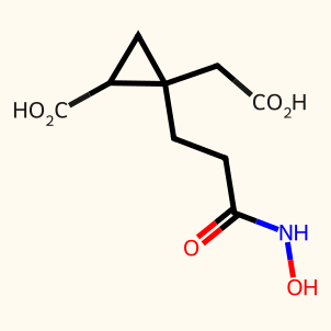 O=C(O)CC1(CCC(=O)NO)CC1C(=O)O